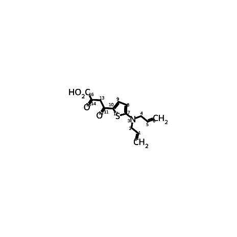 C=CCN(CC=C)c1ccc(C(=O)CC(=O)C(=O)O)s1